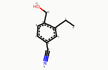 CCc1cc(C#N)ccc1CO